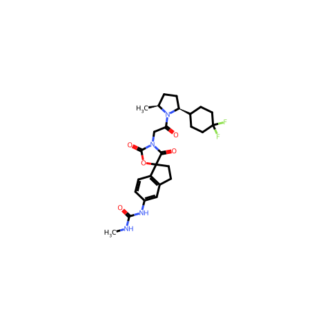 CNC(=O)Nc1ccc2c(c1)CCC21OC(=O)N(CC(=O)N2[C@@H](C)CC[C@H]2C2CCC(F)(F)CC2)C1=O